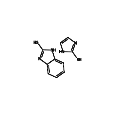 Sc1nc2ccccc2[nH]1.Sc1ncc[nH]1